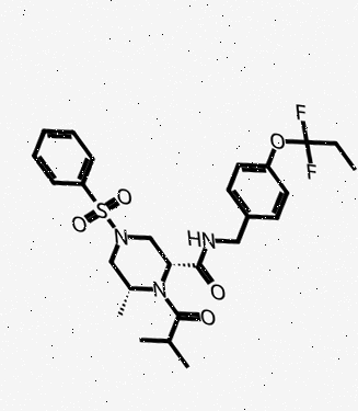 CCC(F)(F)Oc1ccc(CNC(=O)[C@H]2CN(S(=O)(=O)c3ccccc3)C[C@@H](C)N2C(=O)C(C)C)cc1